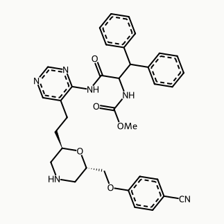 COC(=O)NC(C(=O)Nc1ncncc1CC[C@@H]1CNC[C@@H](COc2ccc(C#N)cc2)O1)C(c1ccccc1)c1ccccc1